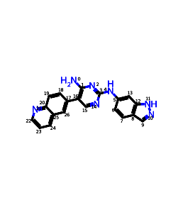 Nc1nc(Nc2ccc3cn[nH]c3c2)ncc1-c1ccc2ncccc2c1